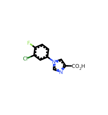 O=C(O)c1cn(-c2ccc(F)c(Cl)c2)cn1